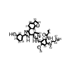 C=CC(=O)Nc1cc(Nc2nccc(-c3[nH]c(-c4cccc(O)c4)nc3-c3ccc4ccoc4c3)n2)c(OC)cc1N(C)CCN(C)C